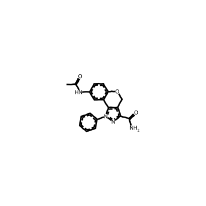 CC(=O)Nc1ccc2c(c1)-c1c(c(C(N)=O)nn1-c1ccccc1)CO2